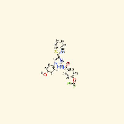 COc1ccc(-n2cc(-c3nc4ccccc4s3)nc2NC(=O)c2ccc(OC(F)F)cc2)cc1